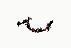 COc1ccc(C2=CN3C(=O)c4cc(OC)c(OCCCCCOc5cc6c(cc5OC)C(=O)N5C=C(c7ccc(CNC(=O)OCc8ccc(NC(=O)[C@H](CCCNC(N)=O)NC(=O)[C@@H](NC(=O)CCCCCN9C(=O)C=CC9=O)C(C)C)cc8)cc7)CC5C=N6)cc4N=C[C@@H]3C2)cc1